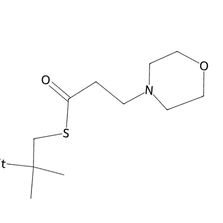 CCC(C)(C)CSC(=O)CCN1CCOCC1